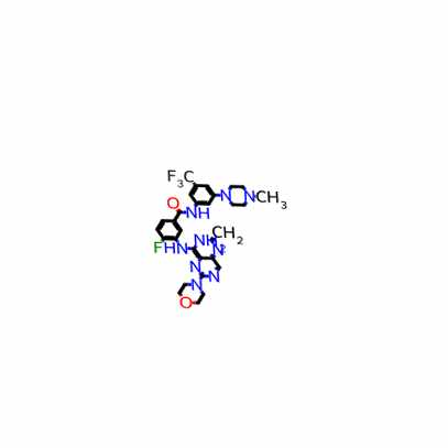 C=C/N=C1/C=NC(N2CCOCC2)=N/C1=C(/N)Nc1cc(C(=O)Nc2cc(N3CCN(C)CC3)cc(C(F)(F)F)c2)ccc1F